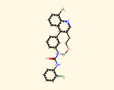 O=COCCc1cnc2c(C(F)(F)F)cccc2c1-c1cccc(NC(=O)Nc2ccccc2Cl)c1